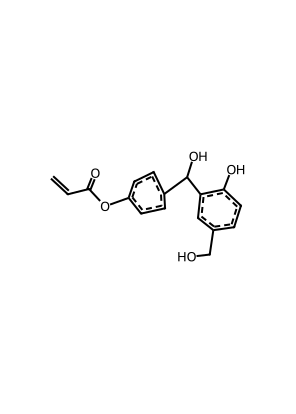 C=CC(=O)Oc1ccc(C(O)c2cc(CO)ccc2O)cc1